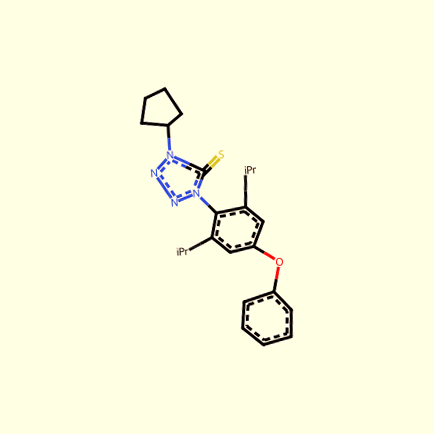 CC(C)c1cc(Oc2ccccc2)cc(C(C)C)c1-n1nnn(C2CCCC2)c1=S